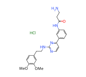 COc1ccc(CCNc2nccc(-c3cccc(NC(=O)CCN)c3)n2)cc1OC.Cl